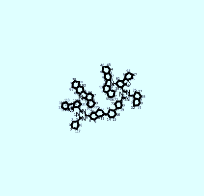 c1ccc(-c2nc(-c3ccc4cc(-c5cccc(-c6ccc(-c7nc(-c8cccc9ccccc89)nc(-c8cc(-n9c%10cc%11ccccc%11cc%10c%10ccc%11ccccc%11c%109)cc9c8oc8ccccc89)n7)cc6)c5)ccc4c3)nc(-c3cc(-n4c5cc6ccccc6cc5c5ccc6ccccc6c54)cc4c3oc3ccccc34)n2)cc1